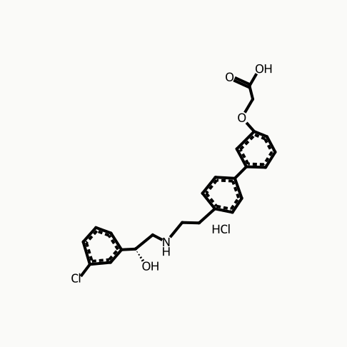 Cl.O=C(O)COc1cccc(-c2ccc(CCNC[C@H](O)c3cccc(Cl)c3)cc2)c1